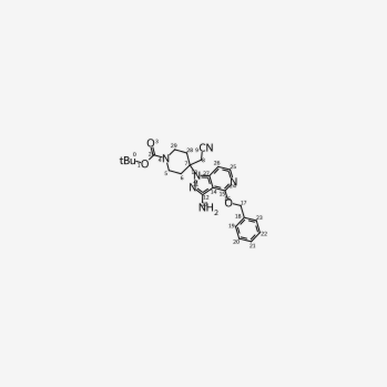 CC(C)(C)OC(=O)N1CCC(CC#N)(n2nc(N)c3c(OCc4ccccc4)nccc32)CC1